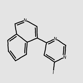 Ic1cc(-c2cncc3ccccc23)ncn1